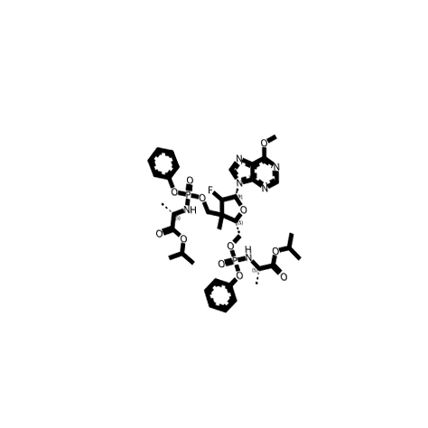 COc1ncnc2c1ncn2[C@@H]1O[C@H](COP(=O)(N[C@@H](C)C(=O)OC(C)C)Oc2ccccc2)C(C)(COP(=O)(N[C@@H](C)C(=O)OC(C)C)Oc2ccccc2)C1F